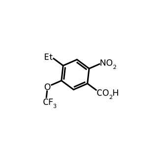 CCc1cc([N+](=O)[O-])c(C(=O)O)cc1OC(F)(F)F